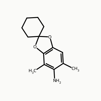 Cc1cc2c(c(C)c1N)OC1(CCCCC1)O2